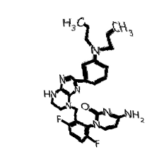 CCCN(CCC)c1cccc(-c2cnc3c(n2)N(Cc2c(F)ccc(F)c2-n2ccc(N)nc2=O)CCN3)c1